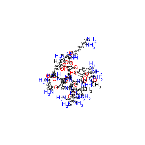 CC(=O)NC1C(OC2c3ccc(c(O)c3)Oc3cc4cc(c3OC3OC(C)[C@@H](N)C(N)[C@H]3NC(=O)CCCCCCC(N)CN)Oc3ccc(cc3O)C[C@H]3NC(=O)C(N)c5ccc(N)c(c5)Oc5cc(N)cc(c5)[C@H](NC3=O)C(=O)N[C@H]4C(=O)NC3C(=O)NC2C(=O)NC(C)c2cc(N)cc(O[C@H]4OC(CN)[C@@H](N)C(N)C4N)c2-c2cc3ccc2N)O[C@H](CN)C(N)[C@@H]1N